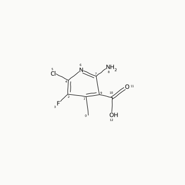 Cc1c(F)c(Cl)nc(N)c1C(=O)O